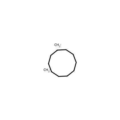 [CH2].[CH2].[CH]1CCCCCCCCC1